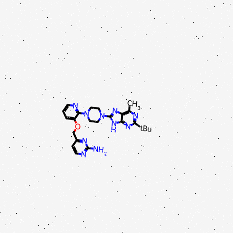 Cc1nc(C(C)(C)C)nc2[nH]c(N3CCN(c4ncccc4OCc4ccnc(N)n4)CC3)nc12